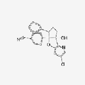 N#Cc1ccc(C23Oc4cc(Cl)cnc4[C@]2(O)CCC3c2ccccc2)cc1